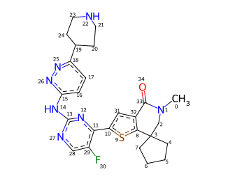 CN1CC2(CCCC2)c2sc(-c3nc(Nc4ccc(C5CCNCC5)nn4)ncc3F)cc2C1=O